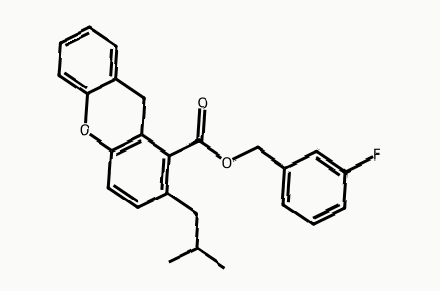 CC(C)Cc1ccc2c(c1C(=O)OCc1cccc(F)c1)Cc1ccccc1O2